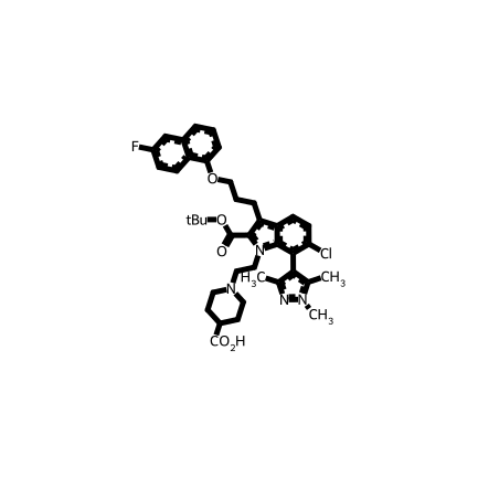 Cc1nn(C)c(C)c1-c1c(Cl)ccc2c(CCCOc3cccc4cc(F)ccc34)c(C(=O)OC(C)(C)C)n(CCN3CCC(C(=O)O)CC3)c12